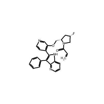 C=CC(=O)N1C[C@@H](F)C[C@H]1COc1cnccc1-c1[nH]c2cccnc2c1-c1ccccc1